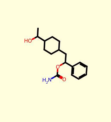 CC(O)C1CCC(CC(OC(N)=O)c2ccccc2)CC1